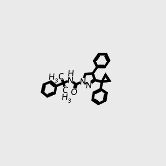 CC(C)(NC(=O)N1CC(c2ccccc2)C(C2(c3ccccc3)CC2)=N1)c1ccccc1